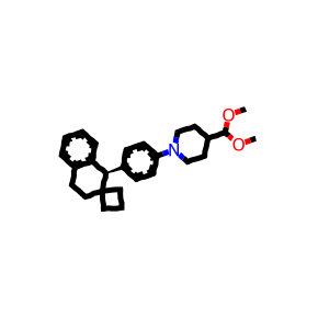 COC(OC)C1CCN(c2ccc([C@@H]3c4ccccc4CCC34CCC4)cc2)CC1